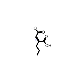 CCC/C(=C/C(=O)O)C(=O)O